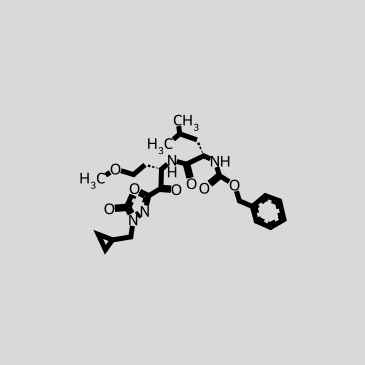 COCC[C@H](NC(=O)[C@H](CC(C)C)NC(=O)OCc1ccccc1)C(=O)c1nn(CC2CC2)c(=O)o1